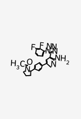 CC(=O)N1CCCC1c1ccc(-c2cnc(N)c(-c3nnnn3-c3cccc(F)c3F)c2)cc1